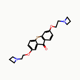 O=c1c2ccc(OCCN3CCC3)cc2sc2ccc(OCCN3CCC3)cc12